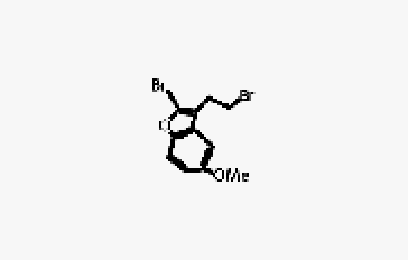 COc1ccc2oc(Br)c(CCBr)c2c1